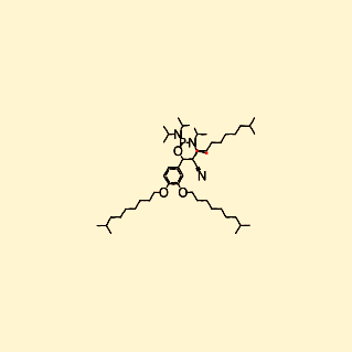 CC(C)CCCCCCCOc1ccc(C(OP(N(C(C)C)C(C)C)N(C(C)C)C(C)C)C(C#N)CCCCCCCC(C)C)cc1OCCCCCCCC(C)C